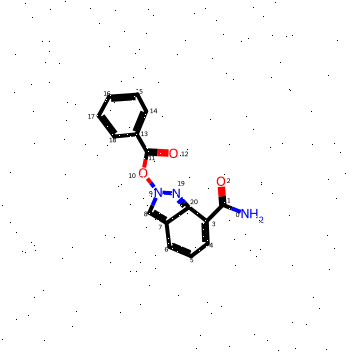 NC(=O)c1cccc2cn(OC(=O)c3ccccc3)nc12